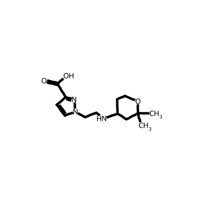 CC1(C)CC(NCCn2ccc(C(=O)O)n2)CCO1